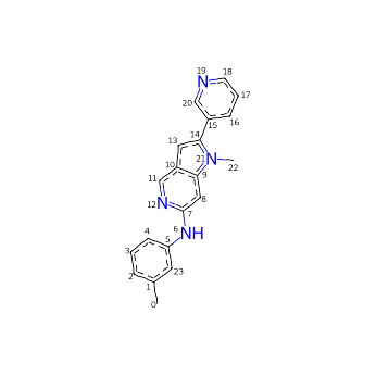 Cc1cccc(Nc2cc3c(cn2)cc(-c2cccnc2)n3C)c1